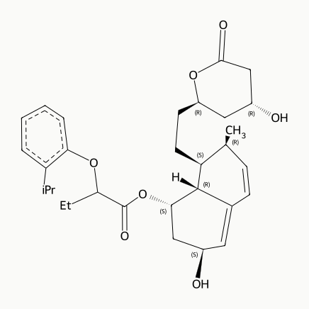 CCC(Oc1ccccc1C(C)C)C(=O)O[C@H]1C[C@H](O)C=C2C=C[C@H](C)[C@H](CC[C@@H]3C[C@@H](O)CC(=O)O3)[C@H]21